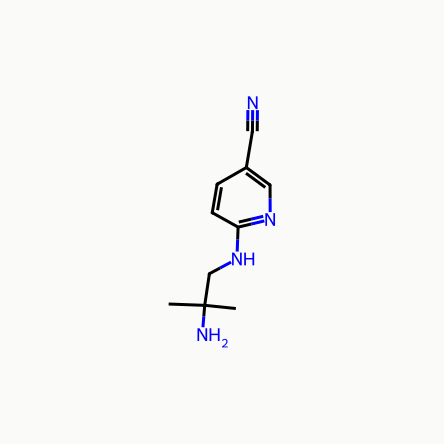 CC(C)(N)CNc1ccc(C#N)cn1